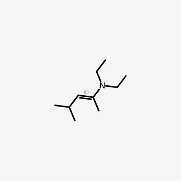 CCN(CC)/C(C)=C/C(C)C